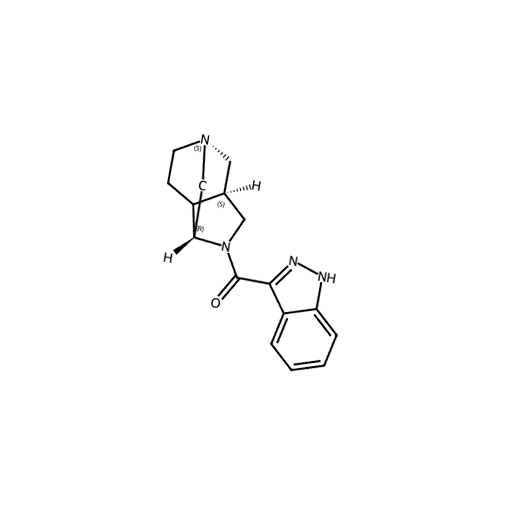 O=C(c1n[nH]c2ccccc12)N1C[C@@H]2C[N@@]3CCC2[C@@H]1C3